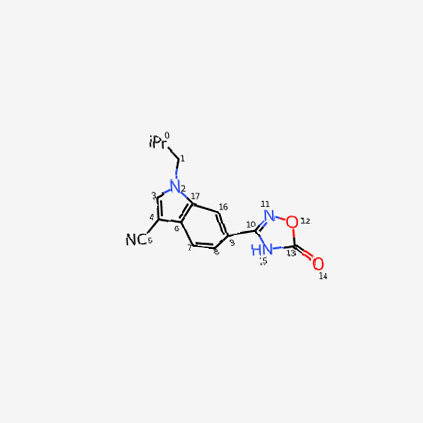 CC(C)Cn1cc(C#N)c2ccc(-c3noc(=O)[nH]3)cc21